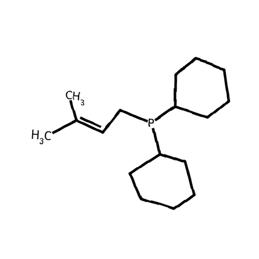 CC(C)=CCP(C1CCCCC1)C1CCCCC1